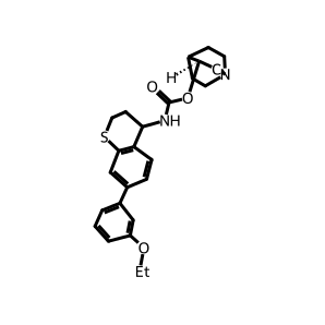 CCOc1cccc(-c2ccc3c(c2)SCCC3NC(=O)O[C@@H]2CN3CCC2CC3)c1